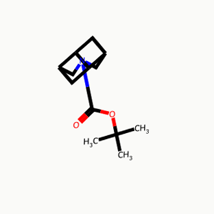 CC(C)(C)OC(=O)N1CC2CC3C(CC23)C1